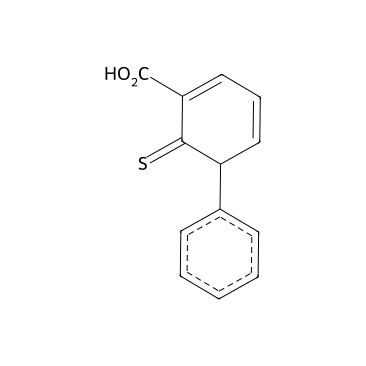 O=C(O)C1=CC=CC(c2ccccc2)C1=S